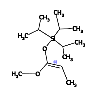 C/C=C(\OC)O[Si](C(C)C)(C(C)C)C(C)C